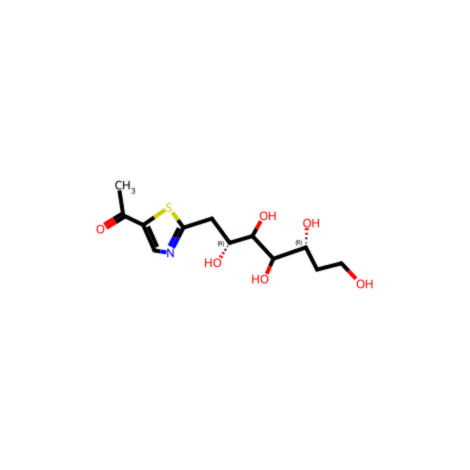 CC(=O)c1cnc(C[C@@H](O)C(O)C(O)[C@H](O)CCO)s1